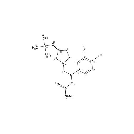 CNC(=O)OC(CN1CC[C@H](O[Si](C)(C)C(C)(C)C)C1)c1ccc(F)c(Br)c1